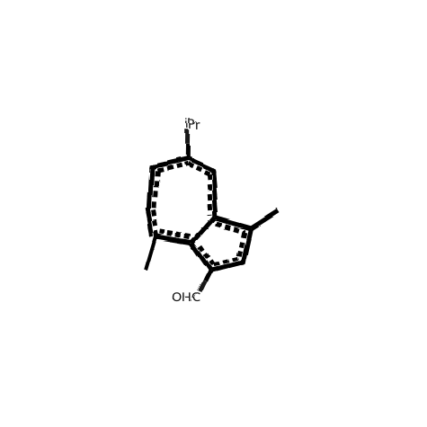 Cc1cc(C=O)c2c(C)ccc(C(C)C)cc1-2